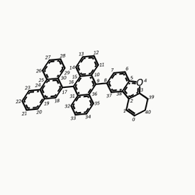 C1=Cc2c(oc3ccc(-c4c5ccccc5c(-c5cc6ccccc6c6ccccc56)c5ccccc45)cc23)CC1